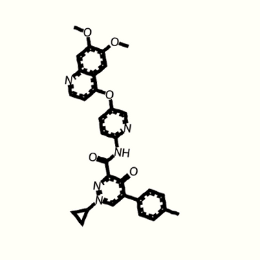 COc1cc2nccc(Oc3ccc(NC(=O)c4nn(C5CC5)cc(-c5ccc(C)cc5)c4=O)nc3)c2cc1OC